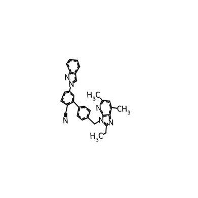 CCc1nc2c(C)cc(C)nc2n1Cc1ccc(-c2cc(-n3cc4ccccc4n3)ccc2C#N)cc1